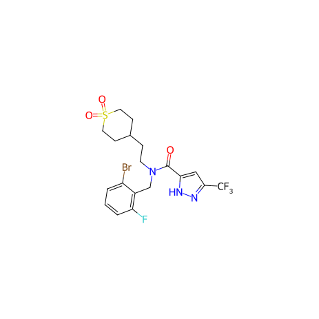 O=C(c1cc(C(F)(F)F)n[nH]1)N(CCC1CCS(=O)(=O)CC1)Cc1c(F)cccc1Br